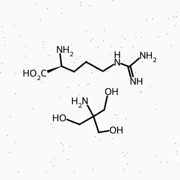 N=C(N)NCCC[C@H](N)C(=O)O.NC(CO)(CO)CO